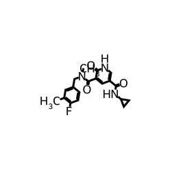 Cc1cc(CN(C)C(=O)c2cc(C(=O)NC3CC3)c[nH]c2=O)ccc1F